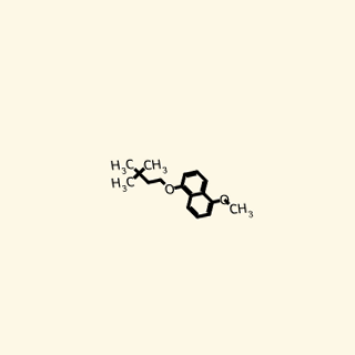 COc1cccc2c(OCCC(C)(C)C)cccc12